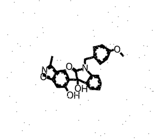 COc1ccc(CN2C(=O)C(O)(c3cc4c(C)noc4cc3O)c3ccccc32)cc1